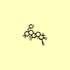 CC1(C)CC[C@]2(CN3CCOC3)CC[C@]3(C)[C@H](C(=O)C=C4[C@@]5(C)C=C(C#N)C(=O)C(C)(C)C5CC[C@]43C)C2C1